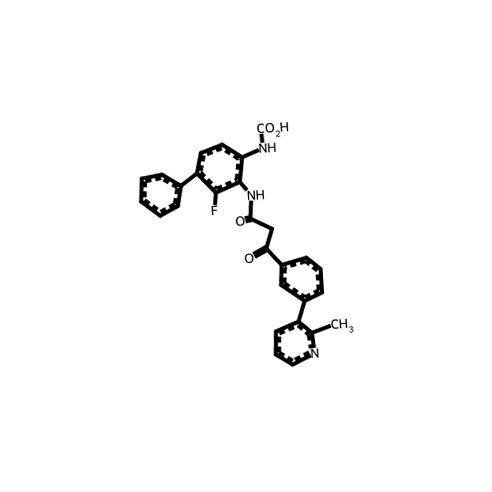 Cc1ncccc1-c1cccc(C(=O)CC(=O)Nc2c(NC(=O)O)ccc(-c3ccccc3)c2F)c1